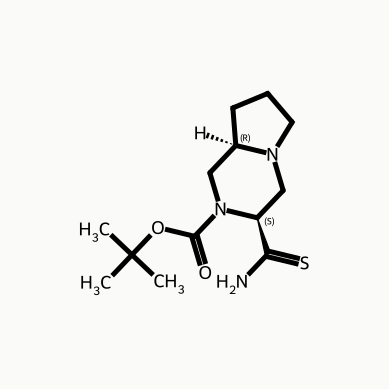 CC(C)(C)OC(=O)N1C[C@H]2CCCN2C[C@H]1C(N)=S